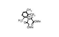 COCC(=O)N(c1c(C)ccc(C)c1C)C(C)C(=O)OC